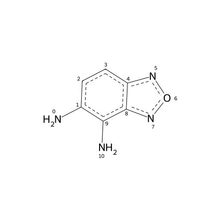 Nc1ccc2nonc2c1N